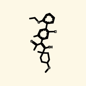 CCOc1ccccc1-c1cc(C)c(/C(C(C)=O)=C(\O)C2(C)CCC(OC)CC2)cc1Cl